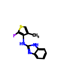 Cc1csc(I)c1Nc1nc2ccccc2[nH]1